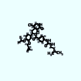 CN(C)CCNC(=O)Nc1ccc(C(=O)OC(Cc2c(Cl)c[nH]c(=O)c2Cl)c2ccc(OC(F)F)c(OCC3CC3)c2)cc1